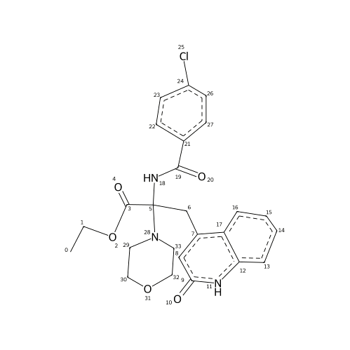 CCOC(=O)C(Cc1cc(=O)[nH]c2ccccc12)(NC(=O)c1ccc(Cl)cc1)N1CCOCC1